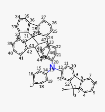 CC1(C)c2ccccc2-c2ccc(N(c3ccccc3)c3ccc(-c4cccc5c4C4(c6ccccc6-5)c5ccccc5C5C=CC=CC54)cc3)cc21